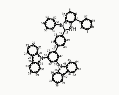 c1ccc(-c2ccnc3c2NC(c2ccc(-c4cc(-n5c6ccccc6c6ccccc65)cc(-n5c6ccccc6c6ccccc65)c4)cc2)N3c2ccccc2)cc1